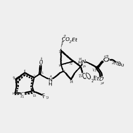 CCOC(=O)[C@H]1C2C(NC(=O)c3ccccc3F)CC(NC(=O)OC(C)(C)C)(C(=O)OCC)C21